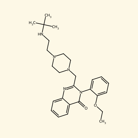 CCOc1ccccc1-n1c(CN2CCN(CCNC(C)(C)C)CC2)nc2ccccc2c1=O